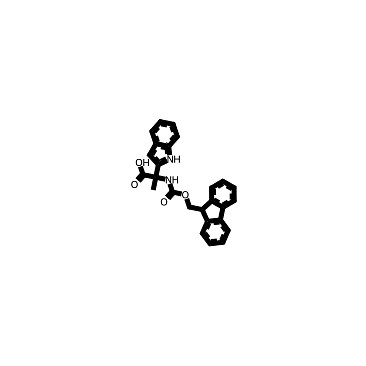 CC(NC(=O)OCC1c2ccccc2-c2ccccc21)(C(=O)O)c1cc2ccccc2[nH]1